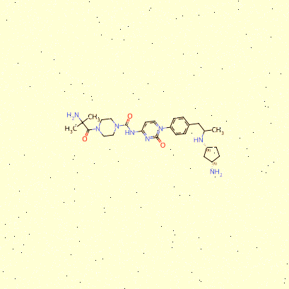 CC(Cc1ccc(-n2ccc(NC(=O)N3CCN(C(=O)C(C)(C)N)CC3)nc2=O)cc1)N[C@@H]1CC[C@H](N)C1